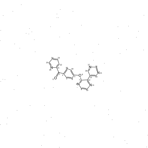 O=C(c1ccc(Oc2nccnc2-c2cncnc2)cc1)c1ccccn1